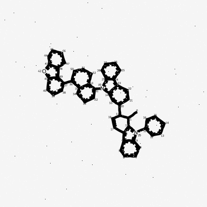 CC1c2c(c3ccccc3n2-c2ccccc2)C=CC1c1ccc2c3ccccc3n(-c3cccc4c(-c5cccc6oc7ccccc7c56)cccc34)c2c1